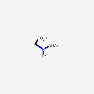 CCN(CC(=O)O)NC(C)=O